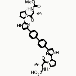 COC(=O)N[C@@H](C(=O)N1[C@@H](C)CC[C@H]1c1nc(-c2ccc(-c3ccc(-c4c[nH]c([C@H]5CC[C@H](C)N5C(=O)[C@H](NC(=O)O)C(C)C)n4)cc3)cc2)c[nH]1)C(C)C